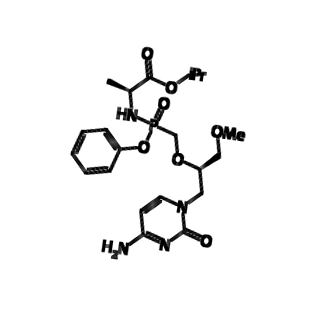 COC[C@@H](Cn1ccc(N)nc1=O)OCP(=O)(N[C@@H](C)C(=O)OC(C)C)Oc1ccccc1